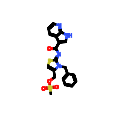 CS(=O)(=O)OCc1cs/c(=N\C(=O)c2c[nH]c3ncccc23)n1Cc1ccccc1